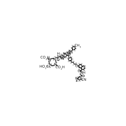 Cc1ccc(/C=N/NCN/N=C/C[C@@H](/C=N\NCCC(=O)N2CCC(CCCCOc3ccc4nccc(C(=O)NCC(=O)N5CC(F)(F)C[C@@H]5C#N)c4c3)CC2)NC(=O)CN2CCN(CC(=O)O)CCN(CC(=O)O)CCN(CC(=O)O)CC2)cc1